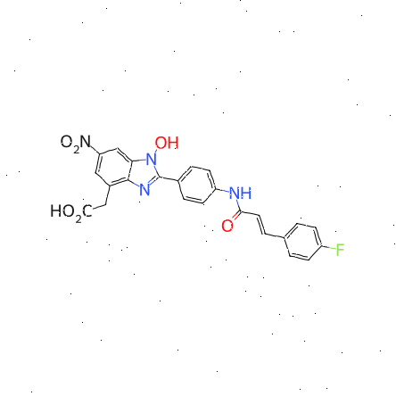 O=C(O)Cc1cc([N+](=O)[O-])cc2c1nc(-c1ccc(NC(=O)/C=C/c3ccc(F)cc3)cc1)n2O